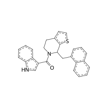 O=C(c1c[nH]c2ccccc12)N1CCc2ccsc2C1Cc1cccc2ccccc12